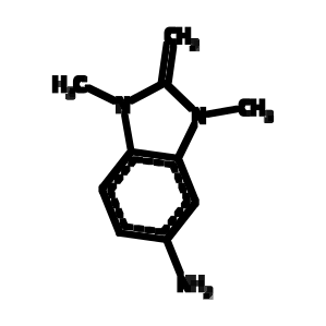 C=C1N(C)c2ccc(N)cc2N1C